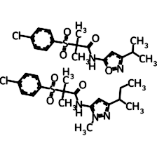 CC(C)c1cc(NC(=O)C(C)(C)S(=O)(=O)c2ccc(Cl)cc2)on1.CCC(C)c1cc(NC(=O)C(C)(C)S(=O)(=O)c2ccc(Cl)cc2)n(C)n1